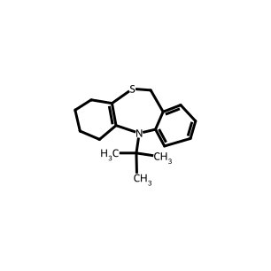 CC(C)(C)N1C2=C(CCCC2)SCc2ccccc21